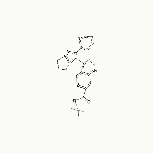 CC(C)(C)NC(=O)c1ccc2c(-c3c(-c4ccccn4)nn4c3CCC4)ccnc2c1